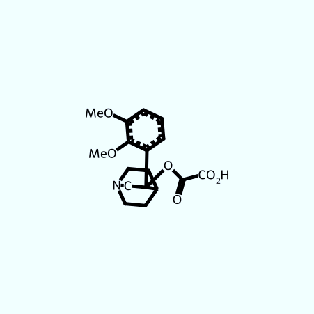 COc1cccc(C2(OC(=O)C(=O)O)CN3CCC2CC3)c1OC